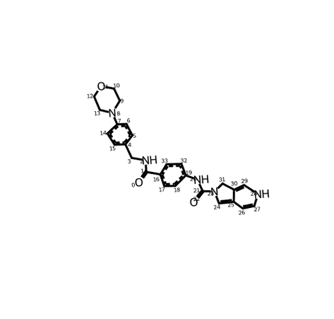 O=C(NCc1ccc(N2CCOCC2)cc1)c1ccc(NC(=O)N2C=C3C=CNC=C3C2)cc1